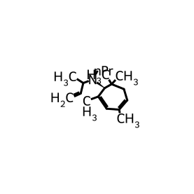 C=CC(C)N(CCC)[C@@H]1C(C)=CC(C)=CCC1(C)C